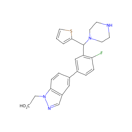 O=C(O)Cn1ncc2cc(-c3ccc(F)c(C(c4cccs4)N4CCNCC4)c3)ccc21